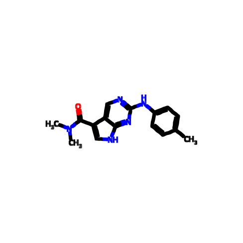 Cc1ccc(Nc2ncc3c(C(=O)N(C)C)c[nH]c3n2)cc1